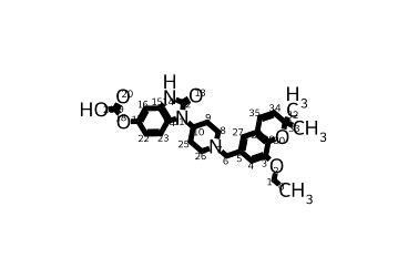 CCOc1cc(CN2CCC(n3c(=O)[nH]c4cc(OC(=O)O)ccc43)CC2)cc2c1OC(C)(C)C=C2